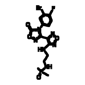 CP(C)(=O)NCCNc1nonc1-c1noc(=O)n1-c1ccc(F)c(Br)c1